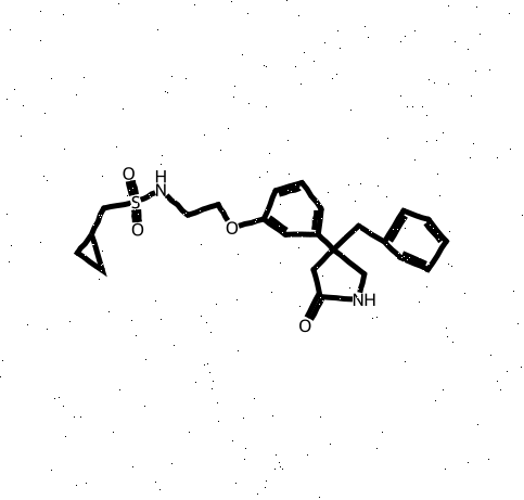 O=C1CC(Cc2ccccc2)(c2cccc(OCCNS(=O)(=O)CC3CC3)c2)CN1